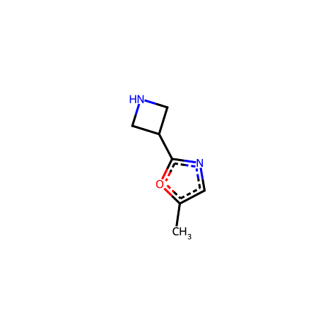 Cc1cnc(C2CNC2)o1